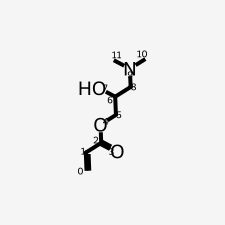 C=CC(=O)OCC(O)CN(C)C